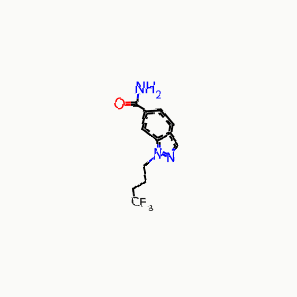 NC(=O)c1ccc2cnn(CCCC(F)(F)F)c2c1